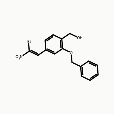 CC/C(=C\c1ccc(CO)c(OCc2ccccc2)c1)[N+](=O)[O-]